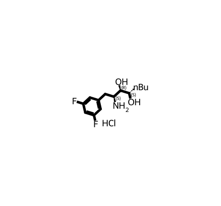 CCCC[C@H](O)[C@H](O)[C@@H](N)Cc1cc(F)cc(F)c1.Cl